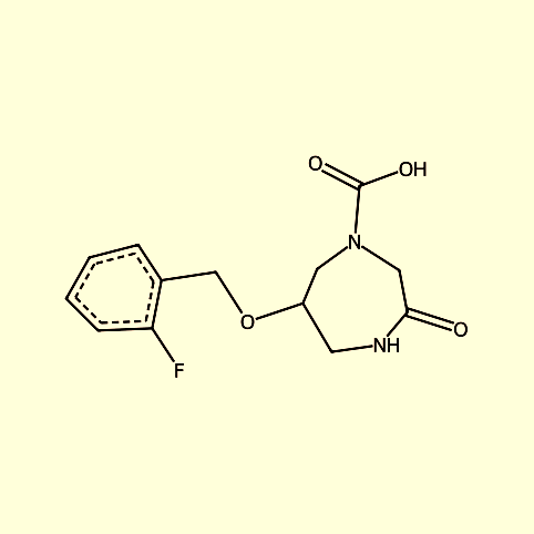 O=C1CN(C(=O)O)CC(OCc2ccccc2F)CN1